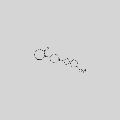 O=C(O)N1CCC2(CC(N3CCC(N4CCCCCC4=O)CC3)C2)C1